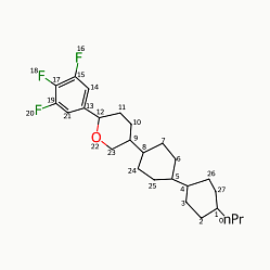 CCCC1CCC(C2CCC(C3CCC(c4cc(F)c(F)c(F)c4)OC3)CC2)CC1